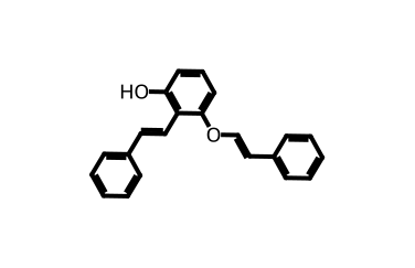 Oc1cccc(OC=Cc2ccccc2)c1C=Cc1ccccc1